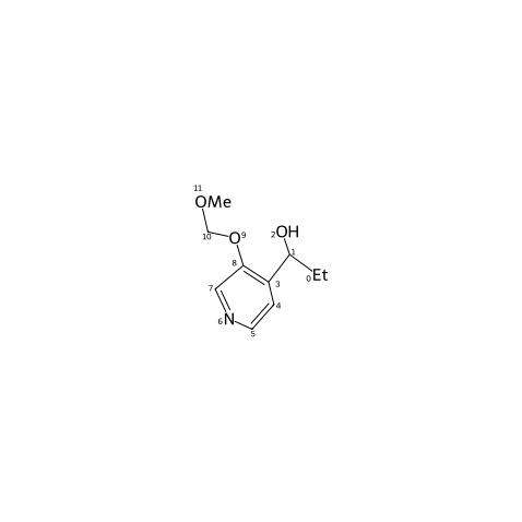 CCC(O)c1ccncc1OCOC